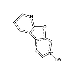 CCC[n+]1ccc2c(c1)oc1ncccc12